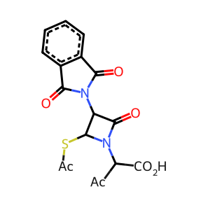 CC(=O)SC1C(N2C(=O)c3ccccc3C2=O)C(=O)N1C(C(C)=O)C(=O)O